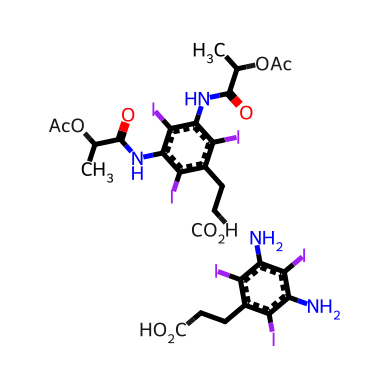 CC(=O)OC(C)C(=O)Nc1c(I)c(CCC(=O)O)c(I)c(NC(=O)C(C)OC(C)=O)c1I.Nc1c(I)c(N)c(I)c(CCC(=O)O)c1I